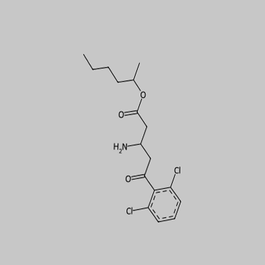 CCCCC(C)OC(=O)CC(N)CC(=O)c1c(Cl)cccc1Cl